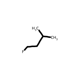 CC(C)CCF